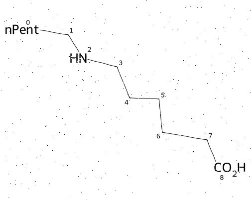 CCCCCCNCCCCCC(=O)O